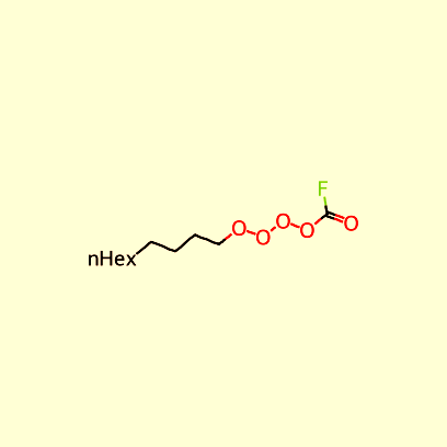 CCCCCCCCCCOOOOC(=O)F